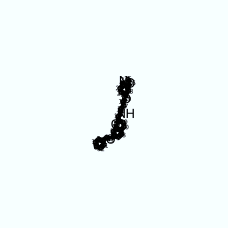 c1ccc(COc2ccc3c(c2)OC(CNCCCOc2ccc4ncoc4c2)CC3)cc1